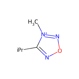 CC(C)c1non[n+]1C